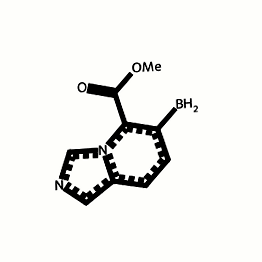 Bc1ccc2cncn2c1C(=O)OC